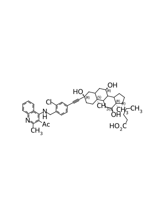 CC(=O)c1c(C)nc2ccccc2c1NCc1ccc(C#C[C@@]2(O)CC[C@@]3(C)C(C[C@@H](O)C4C3C[C@H](O)[C@@]3(C)C4CC[C@@H]3C(C)CCC(=O)O)C2)cc1Cl